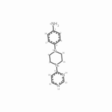 Nc1ccc(N2CCN(c3ccncn3)CC2)cc1